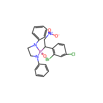 O=[N+]([O-])CC(c1ccc(Cl)cc1Br)P1(=O)N(c2ccccc2)CCN1c1ccccc1